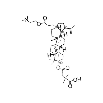 C=C(C)[C@@H]1CC[C@]2(CCC(=O)OCCN(C)C)CC[C@]3(C)[C@H](CC[C@@H]4[C@@]5(C)CC[C@H](OC(=O)CC(C)(C)C(=O)O)C(C)(C)[C@@H]5CC[C@]43C)[C@@H]12